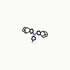 Cc1ccc(N(c2ccc3c(c2)C2CC4CC5CC3CC54C2)c2ccc3c(c2)C2CC4CC5CC3CC54C2)cc1